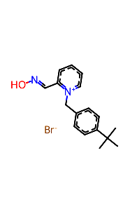 CC(C)(C)c1ccc(C[n+]2ccccc2C=NO)cc1.[Br-]